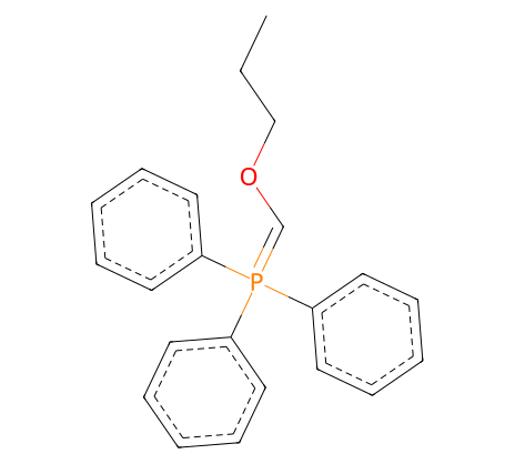 CCCOC=P(c1ccccc1)(c1ccccc1)c1ccccc1